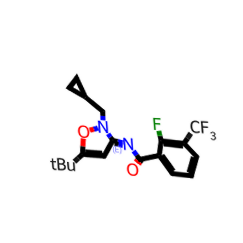 CC(C)(C)c1c/c(=N\C(=O)c2cccc(C(F)(F)F)c2F)n(CC2CC2)o1